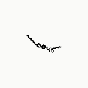 CCCCCCCCCc1ccc(-c2ccc(OCC(C)OC(=O)CCCCCC)cc2)nc1